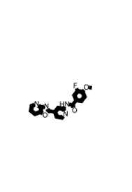 COc1ccc(C(=O)Nc2cc(-c3nc4ncccc4o3)ccn2)cc1F